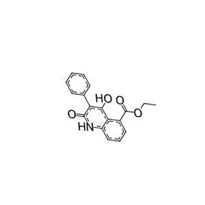 CCOC(=O)c1cccc2[nH]c(=O)c(-c3ccccc3)c(O)c12